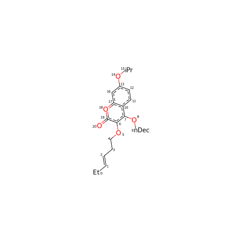 CCC=CCCOc1c(OCCCCCCCCCC)c2ccc(OC(C)C)cc2oc1=O